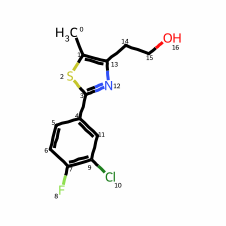 Cc1sc(-c2ccc(F)c(Cl)c2)nc1CCO